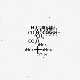 CC(=O)O.CC(=O)O.CC(=O)O.CC(=O)O.CC(=O)O.CC(=O)O.CCCCCCC(CCCCCC)(CCCCCC)C(=O)O